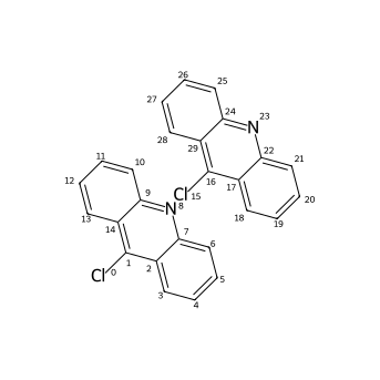 Clc1c2ccccc2nc2ccccc12.Clc1c2ccccc2nc2ccccc12